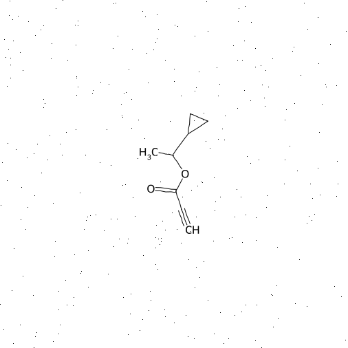 C#CC(=O)OC(C)C1CC1